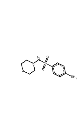 Nc1ccc(S(=O)(=O)NN2CCOCC2)cc1